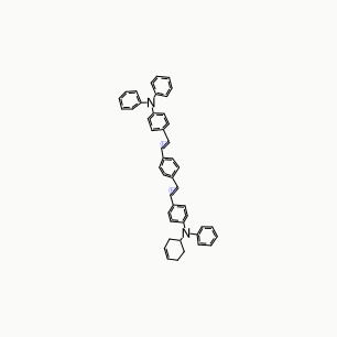 C1=CCC(N(c2ccccc2)c2ccc(/C=C/c3ccc(/C=C/c4ccc(N(c5ccccc5)c5ccccc5)cc4)cc3)cc2)CC1